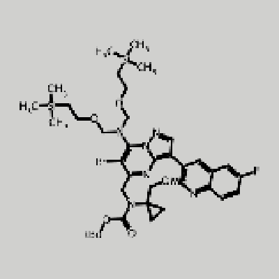 COCC1(N(Cc2nc3c(-c4cnc5ccc(F)cc5c4)cnn3c(N(COCC[Si](C)(C)C)COCC[Si](C)(C)C)c2Br)C(=O)OC(C)(C)C)CC1